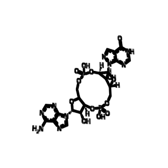 Nc1ncnc2c1ncn2[C@@H]1OC2COP(=O)(O)O[C@@H]3[C@H](O)[C@@H](COP(=O)(O)O[C@H]2[C@H]1O)O[C@H]3n1ncc2c(=O)[nH]cnc21